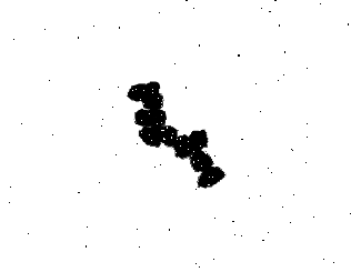 c1ccc(-c2ccc(-n3c4ccccc4c4cc(-c5ccc6c(c5)c5ccccc5n6-c5ccc(-c6ccc7oc8ccccc8c7c6)c6ccccc56)ccc43)cc2)cc1